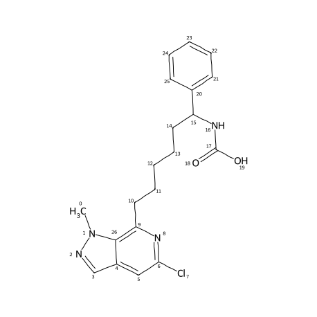 Cn1ncc2cc(Cl)nc(CCCCCC(NC(=O)O)c3ccccc3)c21